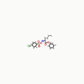 CCCC/C(=N/OS(=O)(=O)c1ccc(Cl)cc1)C(=O)Oc1ccccc1